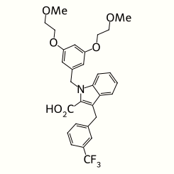 COCCOc1cc(Cn2c(C(=O)O)c(Cc3cccc(C(F)(F)F)c3)c3ccccc32)cc(OCCOC)c1